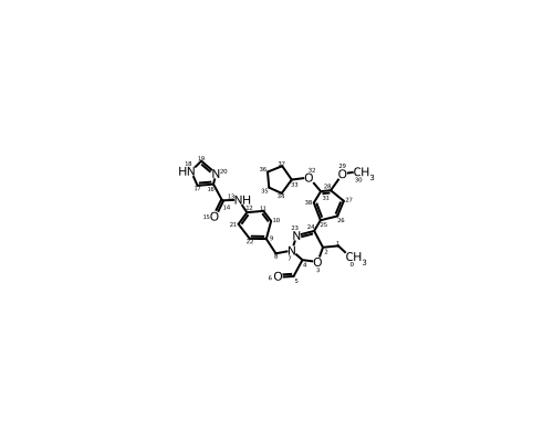 CCC1OC(C=O)N(Cc2ccc(NC(=O)c3c[nH]cn3)cc2)N=C1c1ccc(OC)c(OC2CCCC2)c1